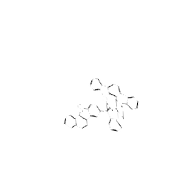 c1ccc2c(c1)ccc1c3cc(-c4nc(-n5c6ccccc6c6ccc7c8ccccc8sc7c65)nc5ccccc45)ccc3sc21